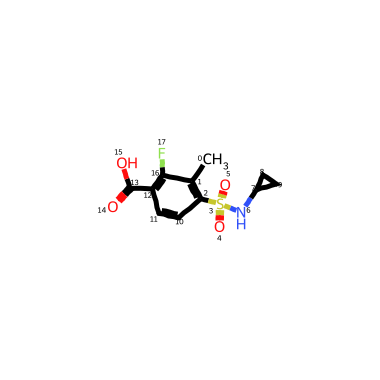 Cc1c(S(=O)(=O)NC2CC2)ccc(C(=O)O)c1F